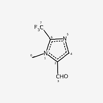 Cn1c(C=O)cnc1C(F)(F)F